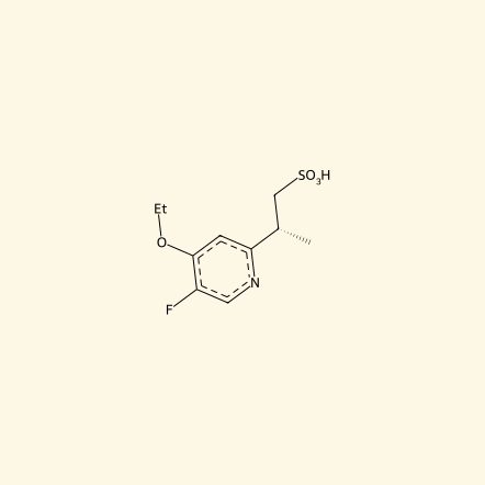 CCOc1cc([C@@H](C)CS(=O)(=O)O)ncc1F